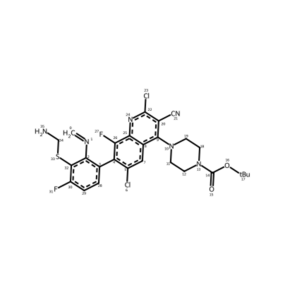 C=Nc1c(-c2c(Cl)cc3c(N4CCN(C(=O)OC(C)(C)C)CC4)c(C#N)c(Cl)nc3c2F)ccc(F)c1SCN